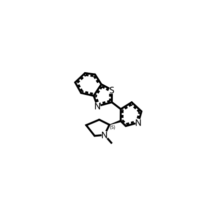 CN1CCC[C@H]1c1cnccc1-c1nc2ccccc2s1